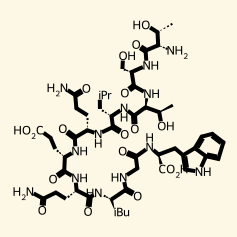 CC[C@H](C)[C@H](NC(=O)[C@H](CCC(N)=O)NC(=O)[C@H](CCC(=O)O)NC(=O)[C@H](CCC(N)=O)NC(=O)[C@H](CC(C)C)NC(=O)[C@@H](NC(=O)[C@H](CO)NC(=O)[C@@H](N)[C@@H](C)O)[C@@H](C)O)C(=O)NCC(=O)N[C@@H](Cc1c[nH]c2ccccc12)C(=O)O